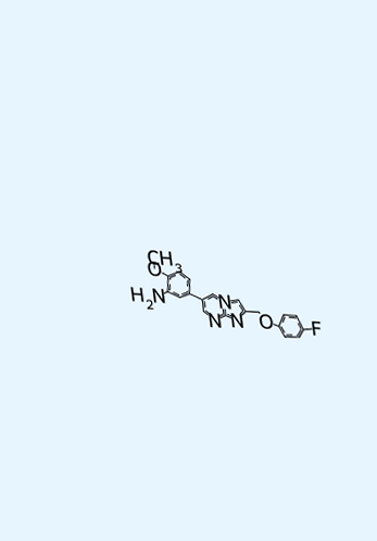 COc1ccc(-c2cnc3nc(COc4ccc(F)cc4)cn3c2)cc1N